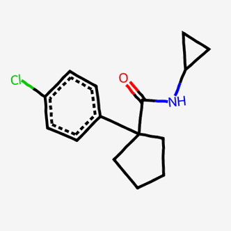 O=C(NC1CC1)C1(c2ccc(Cl)cc2)CCCC1